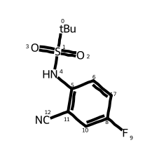 CC(C)(C)S(=O)(=O)Nc1c[c]c(F)cc1C#N